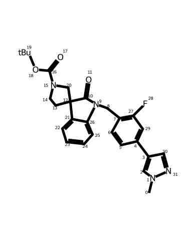 Cn1cc(-c2ccc(CN3C(=O)C4(CCN(C(=O)OC(C)(C)C)C4)c4ccccc43)c(F)c2)cn1